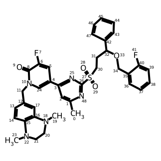 Cc1cc(-c2cc(F)c(=O)n(Cc3ccc4c(c3)N(C)CCN4C)c2)nc(S(=O)(=O)CCC(OCc2ccccc2F)c2ccccc2)n1